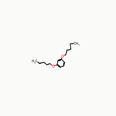 CCCCCOc1[c]ccc(OCCCCC)c1